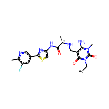 CC(=O)Cn1c(=O)c(CN[C@@H](C)C(=O)Nc2csc(-c3cnc(C)c(F)c3)n2)c(N)n(C)c1=O